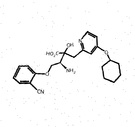 N#Cc1ccccc1OC[C@H](N)C(O)(Cc1cc(OC2CCCCC2)ccn1)C(=O)O